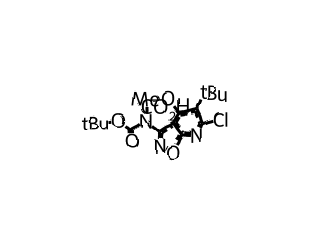 COc1c(C(C)(C)C)c(Cl)nc2onc(N(C(=O)O)C(=O)OC(C)(C)C)c12